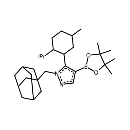 CC1CCC(C(C)C)C(c2c(B3OC(C)(C)C(C)(C)O3)cnn2CC23CC4CC(CC(C4)C2)C3)C1